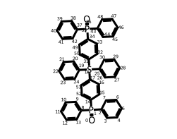 O=P(c1ccccc1)(c1ccccc1)c1ccc(S(c2ccccc2)(c2ccccc2)c2ccc(P(=O)(c3ccccc3)c3ccccc3)cc2)cc1